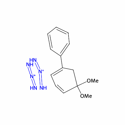 COC1(OC)C=CC=C(c2ccccc2)C1.N=[N+]=N.N=[N+]=N